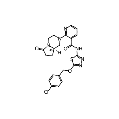 O=C(Nc1nnc(OCc2ccc(Cl)cc2)s1)c1cccnc1N1CCN2C(=O)CC[C@@H]2C1